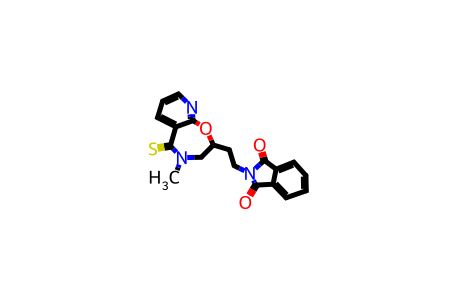 CN1CC(CCN2C(=O)c3ccccc3C2=O)Oc2ncccc2C1=S